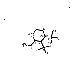 CC(C)(C)C1C(CF)OCC[C@@H]1C(C)(C)C